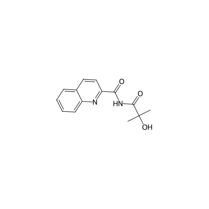 CC(C)(O)C(=O)NC(=O)c1ccc2ccccc2n1